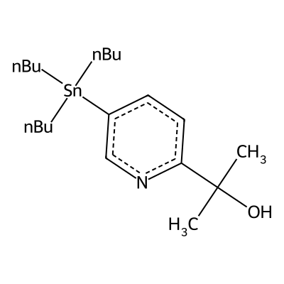 CCC[CH2][Sn]([CH2]CCC)([CH2]CCC)[c]1ccc(C(C)(C)O)nc1